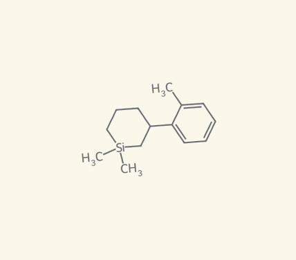 Cc1ccccc1C1CCC[Si](C)(C)C1